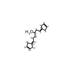 CC(CC=C1CC=CC1)SCC=C1CC=CC1